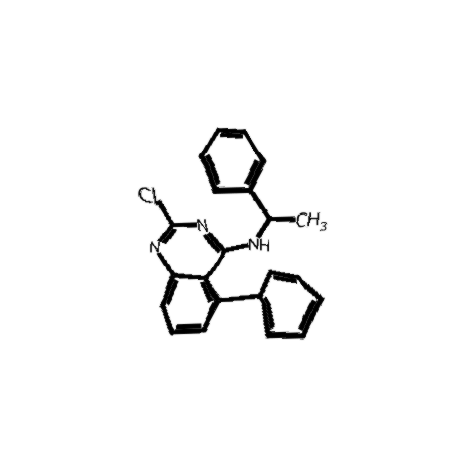 CC(Nc1nc(Cl)nc2cccc(-c3ccccc3)c12)c1ccccc1